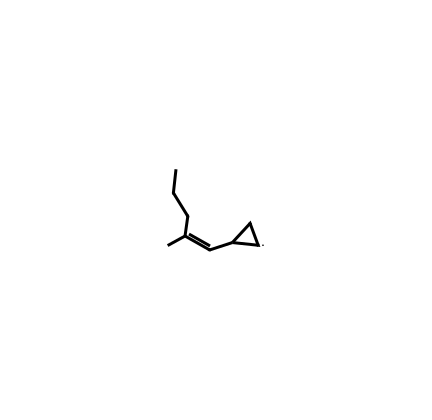 CCCC(C)=CC1[CH]C1